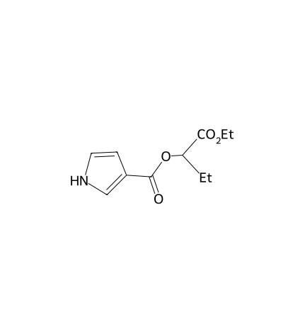 CCOC(=O)C(CC)OC(=O)c1cc[nH]c1